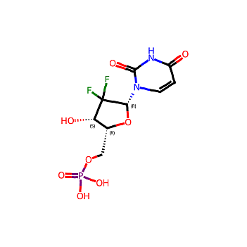 O=c1ccn([C@@H]2O[C@H](COP(=O)(O)O)[C@H](O)C2(F)F)c(=O)[nH]1